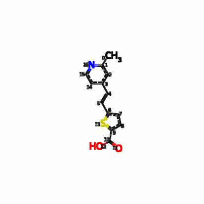 Cc1cc(/C=C/c2ccc(C(=O)O)s2)ccn1